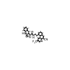 N#CC(=Cc1cccc(CCNC(=O)NC(Cc2ccccc2)B(O)O)c1)c1ccc(C(F)(F)F)cn1